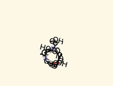 C=CC[C@@H]1/C=C(\C)C[C@H](C)C[C@H](OC)[C@H]2OC(O)(C(=O)C(=O)N3CCCCC3C(=O)O[C@H](/C(C)=C/C3CC[C@@H](O)[C@H](OC)C3)[C@H](C)[C@@H](O)CC1=O)C(C)C[C@@H]2OC